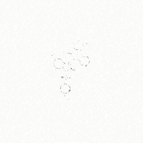 COc1ccc(S(=O)(=O)n2c(=O)n(C(C(=O)N3CC[C@@H](N)C3)c3ccccc3)c3cc(Cl)ccc32)cc1